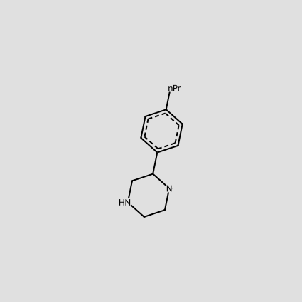 CCCc1ccc(C2CNCC[N]2)cc1